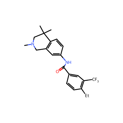 CCc1ccc(C(=O)Nc2ccc3c(c2)CN(C)CC3(C)C)cc1C(F)(F)F